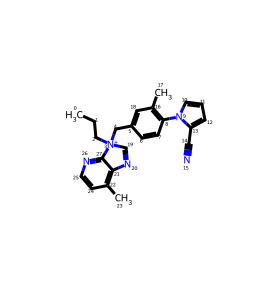 CCC[N+]1(Cc2ccc(-n3cccc3C#N)c(C)c2)C=Nc2c(C)ccnc21